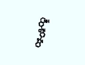 c1ccc2sc(-c3ccc4nc(-c5ccc6c(c5)NCCC6)oc4c3)nc2c1